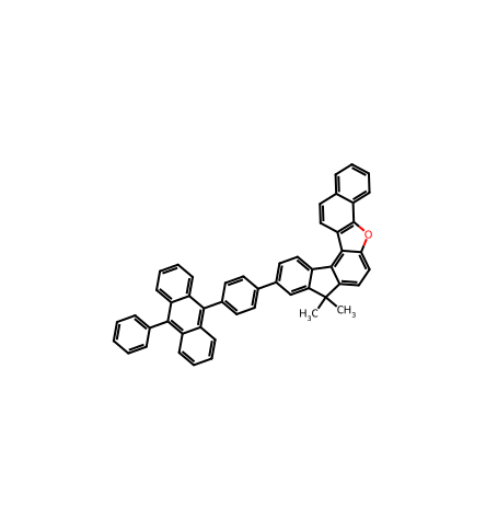 CC1(C)c2cc(-c3ccc(-c4c5ccccc5c(-c5ccccc5)c5ccccc45)cc3)ccc2-c2c1ccc1oc3c4ccccc4ccc3c21